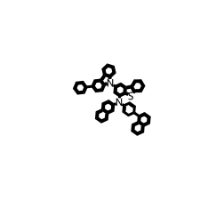 C1=CC(c2cccc3ccccc23)CC=C1N(c1ccc2ccccc2c1)c1cc(-n2c3ccccc3c3cc(-c4ccccc4)ccc32)cc2c1sc1ccccc12